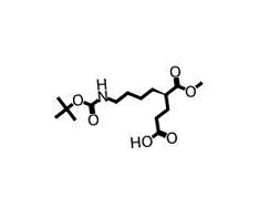 COC(=O)[C@H](CCCCNC(=O)OC(C)(C)C)CCC(=O)O